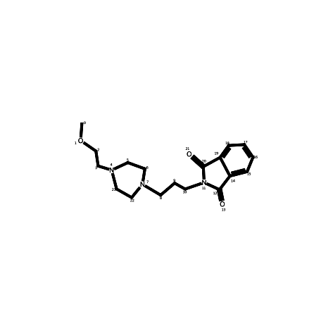 COCCN1CCN(CCCN2C(=O)c3ccccc3C2=O)CC1